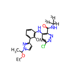 [2H]C([2H])([2H])NC(=O)c1nnc(Cl)cc1Nc1cccc(-c2ccn(C(C)OCC)n2)c1OC